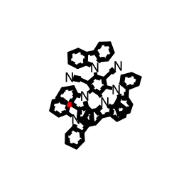 N#Cc1c(-n2c3ccccc3c3ccccc32)c(C#N)c(-n2c3ccccc3c3ccccc32)c(-n2c3ccccc3c3cc4c5ccccc5n(-c5ccccc5)c4cc32)c1-n1c2ccccc2c2ccccc21